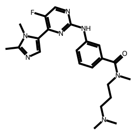 Cc1ncc(-c2nc(Nc3cccc(C(=O)N(C)CCCN(C)C)c3)ncc2F)n1C